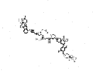 C[C@@H]1CN(CCCNc2cccc3c2CN(C2CCC(=O)NC2=O)C3=O)C[C@@H]1CN(C)CCNc1cc(N2CCC3(CC2)CN(c2cc(F)c(CN4CCC(C)(C)CC4)cc2F)CC(=O)N3)ncn1